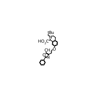 Cc1oc(-c2ccccc2)nc1CCOc1ccc2c(c1)C(C(=O)O)N(CC(C)(C)C)CC2